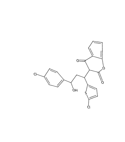 O=C1Oc2ccccc2C(=O)C1C(CC(O)c1ccc(Cl)cc1)c1ccc(Cl)s1